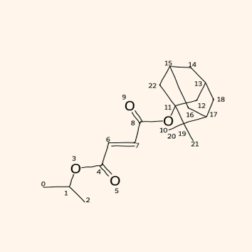 CC(C)OC(=O)C=CC(=O)OC12CC3CC(CC(C3)C1(C)C)C2